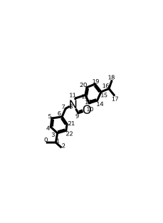 CC(C)c1ccc(CN(C=O)Cc2ccc(C(C)C)cc2)cc1